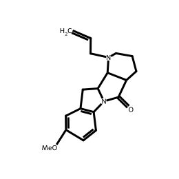 C=CCN1CCCC2C(=O)N3c4ccc(OC)cc4CC3C21